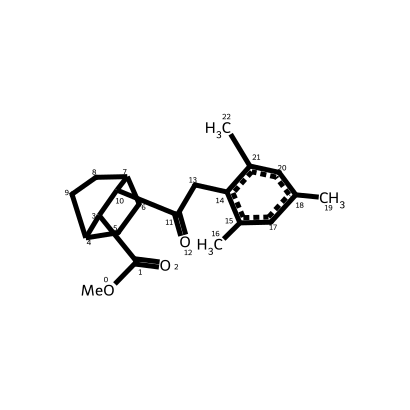 COC(=O)C1C2CCC(CC2)C1C(=O)Cc1c(C)cc(C)cc1C